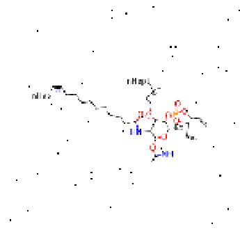 C=CCOP(=O)(OCC=C)OC1C(CC)OC(OC(C)=N)C(NC(=O)CCCCCCCCC/C=C\CCCCCC)C1OCC[C@H](C)CCCCCCC